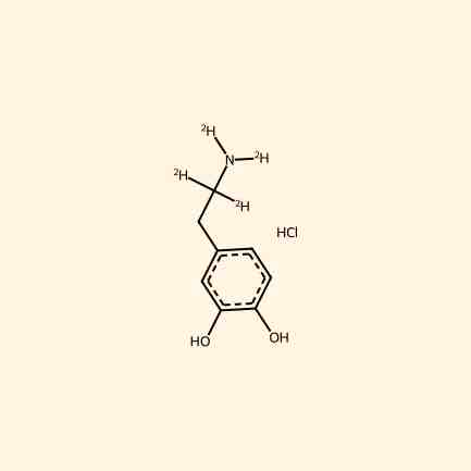 Cl.[2H]N([2H])C([2H])([2H])Cc1ccc(O)c(O)c1